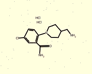 Cl.Cl.NCC1CCN(c2ccc(Cl)cc2C(N)=O)CC1